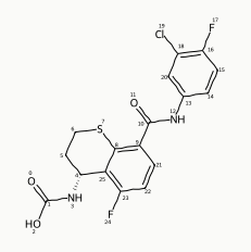 O=C(O)N[C@@H]1CCSc2c(C(=O)Nc3ccc(F)c(Cl)c3)ccc(F)c21